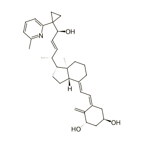 C=C1/C(=C\C=C2/CCC[C@]3(C)[C@@H]([C@H](C)/C=C/[C@H](O)C4(c5cccc(C)n5)CC4)CC[C@@H]23)C[C@@H](O)C[C@@H]1O